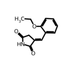 CCOc1ccccc1C=C1CC(=O)NC1=O